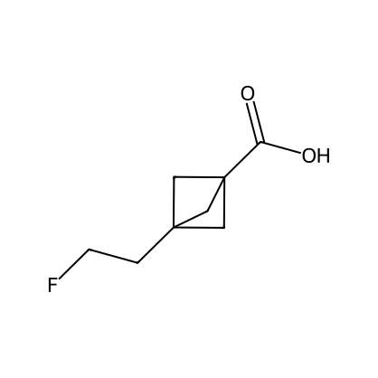 O=C(O)C12CC(CCF)(C1)C2